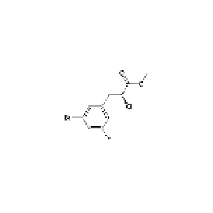 COC(=O)[C@@H](Cl)Cc1cc(F)cc(Br)c1